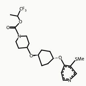 CSc1cnccc1O[C@H]1CC[C@H](OC2CCN(C(=O)OC(C)C(F)(F)F)CC2)CC1